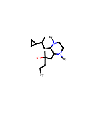 CC(C)CCC(C)(O)CC1C(CC(C)C2CC2)N(C(C)C)CCN1C(C)C